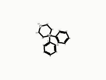 c1ccc([N+]2(c3ccccc3)CCOCC2)cc1